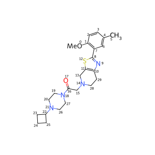 COc1ccc(C)cc1-c1nc2c(s1)CN(CC(=O)N1CCN(C3CCC3)CC1)CC2